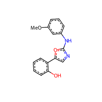 COc1cccc(Nc2ncc(-c3ccccc3O)o2)c1